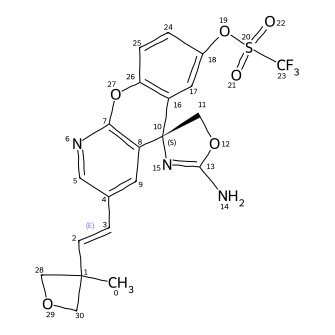 CC1(/C=C/c2cnc3c(c2)[C@]2(COC(N)=N2)c2cc(OS(=O)(=O)C(F)(F)F)ccc2O3)COC1